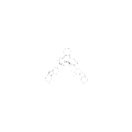 c1ccc2c(c1)sc1cc(-c3ncc4c5ccccc5c5cnc(-c6ccc7c(c6)sc6ccccc67)nc5c4n3)ccc12